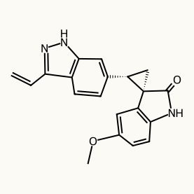 C=Cc1n[nH]c2cc([C@@H]3C[C@@]34C(=O)Nc3ccc(OC)cc34)ccc12